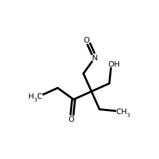 CCC(=O)C(CC)(CO)CN=O